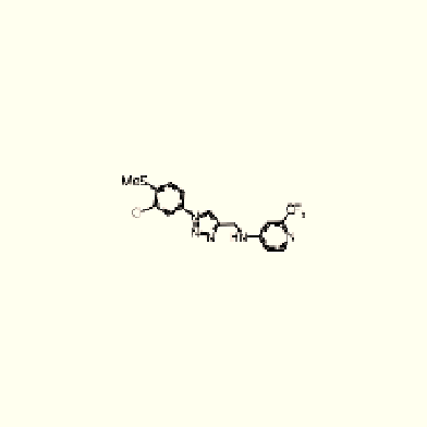 CSc1ccc(-n2cc(CNc3ccnc(C(F)(F)F)c3)nn2)cc1Cl